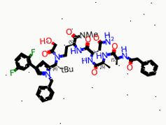 CNC(=O)[C@H](CCN(C(=O)CO)[C@@H](c1cc(-c2cc(F)ccc2F)cn1Cc1ccccc1)C(C)(C)C)NC(=O)[C@H](CC(N)=O)NC(=O)[C@H](C)NC(=O)[C@H](C)NC(=O)Cc1ccccc1